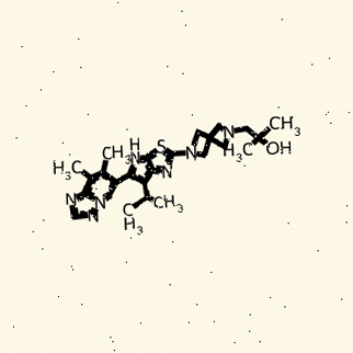 Cc1c(-c2[nH]c3sc(N4CC5(CN(CC(C)(C)O)C5)C4)nc3c2C(C)C)cn2ncnc2c1C